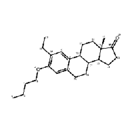 CCCCOc1cc2c(cc1CC)C1CC[C@]3(C)C(=O)CCC3C1CC2